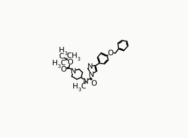 CN(C(=O)n1cnc(-c2ccc(OCc3ccccc3)cc2)c1)C1CCN(C(=O)OC(C)(C)C)CC1